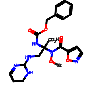 CCON(C(=O)c1ccno1)C(CNC1N=CCCN1)(NC(=O)OCc1ccccc1)C(=O)O